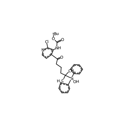 CC(C)(C)OC(=O)Nc1c(C(=O)CCCC(C)(C)[Si](O)(c2ccccc2)c2ccccc2)ccnc1Cl